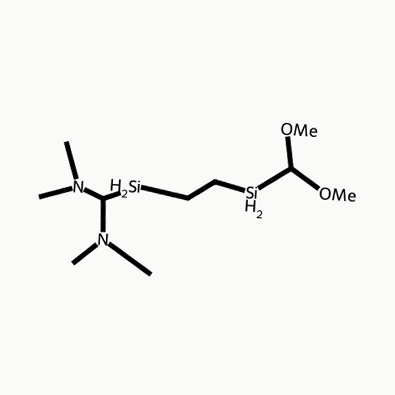 COC(OC)[SiH2]CC[SiH2]C(N(C)C)N(C)C